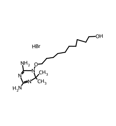 Br.CC1(C)N=C(N)N=C(N)N1OCCCCCCCCCCO